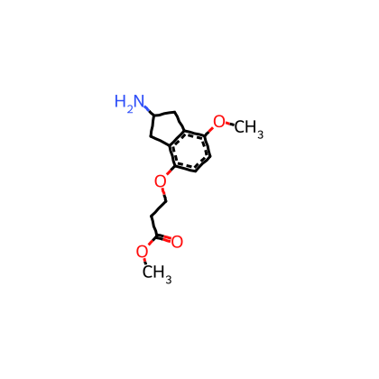 COC(=O)CCOc1ccc(OC)c2c1CC(N)C2